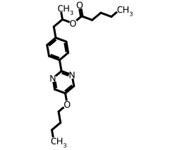 CCCCOc1cnc(-c2ccc(CC(C)OC(=O)CCCC)cc2)nc1